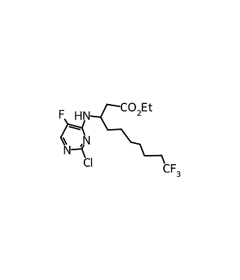 CCOC(=O)CC(CCCCCCC(F)(F)F)Nc1nc(Cl)ncc1F